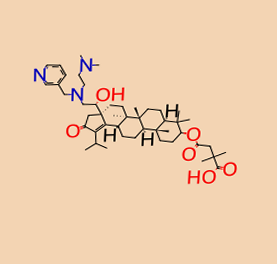 CC(C)C1=C2[C@H]3CC[C@@H]4[C@@]5(C)CC[C@H](OC(=O)CC(C)(C)C(=O)O)C(C)(C)[C@@H]5CC[C@@]4(C)[C@]3(C)CC[C@@]2([C@@H](O)CN(CCN(C)C)Cc2cccnc2)CC1=O